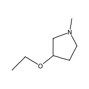 CCOC1CCN(C)C1